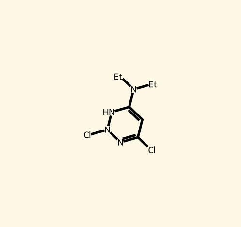 CCN(CC)C1=CC(Cl)=NN(Cl)N1